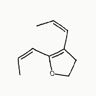 C/C=C\C1=C(/C=C\C)OCC1